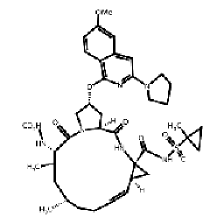 COc1ccc2c(O[C@@H]3C[C@H]4C(=O)N[C@]5(C(=O)NS(=O)(=O)C6(C)CC6)C[C@H]5/C=C\CC[C@H](C)C[C@@H](C)[C@H](NC(=O)O)C(=O)N4C3)nc(N3CCCC3)cc2c1